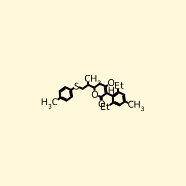 CCc1cc(C)cc(CC)c1C1=C(O)CC(C(C)CSc2ccc(C)cc2)OC1=O